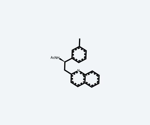 CC(=O)N[C@H](Cc1ccc2ccccc2n1)c1cccc(C)c1